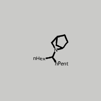 CCCCCCC(CCCCC)N1CC2CCC1C2